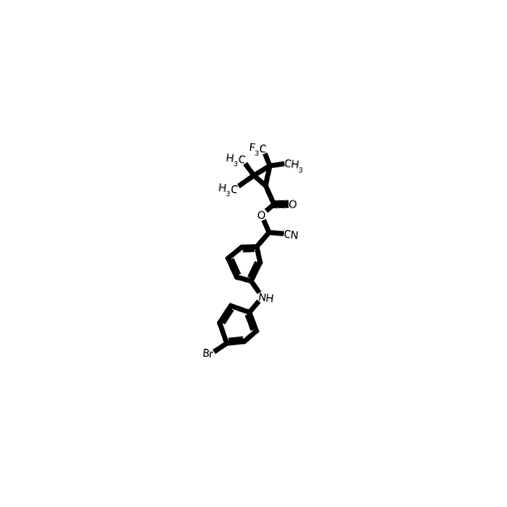 CC1(C)C(C(=O)OC(C#N)c2cccc(Nc3ccc(Br)cc3)c2)C1(C)C(F)(F)F